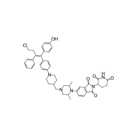 CC1CN(CC2CCN(c3ccc(C(=C(CCCl)c4ccccc4)c4ccc(O)cc4)cc3)CC2)CC(C)N1c1ccc2c(c1)C(=O)N(C1CCC(=O)NC1=O)C2=O